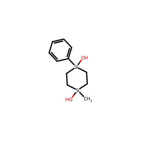 C[Si]1(O)CC[Si](O)(c2ccccc2)CC1